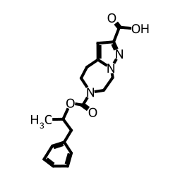 CC(Cc1ccccc1)OC(=O)N1CCc2cc(C(=O)O)nn2CC1